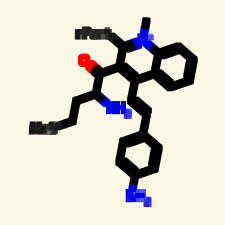 CCCCCc1c(C(=O)C(N)CCSC)c(C=Cc2ccc(N)cc2)c2ccccc2[n+]1C